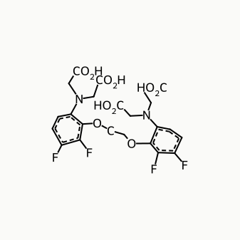 O=C(O)CN(CC(=O)O)c1ccc(F)c(F)c1OCCOc1c(N(CC(=O)O)CC(=O)O)ccc(F)c1F